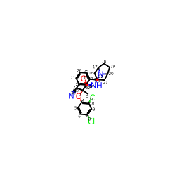 CC(C)(Oc1ccc(Cl)cc1Cl)C(=O)NC1CC2CCC(C1)N2Cc1cccc(C#N)c1